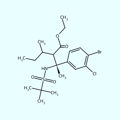 CCOC(=O)C(C(C)CC)[C@@](C)(NS(=O)(=O)C(C)(C)C)c1ccc(Br)c(Cl)c1